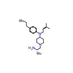 CCC(C)[C@H](N)CN1CCC(N(CC=C(C)C)c2ccc(CCC(C)(C)C)cc2)CC1